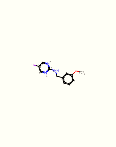 FC(F)(F)Oc1cccc(CNc2ncc(I)cn2)c1